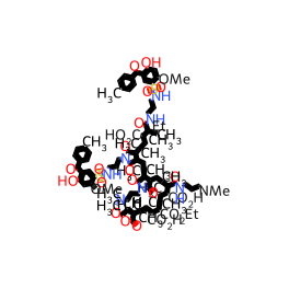 CCOC(=O)C(C(CC(C)(C)C1C(=O)OC(=O)C1C)C(=O)O)C(C)(C)CC(C(=O)O)C(C(=O)NCCCNC)C(C)(C)CC1C(=O)N(CCCN(C)C)C(=O)C1C(C)(C)CC1C(=O)N(CCCNS(=O)(=O)c2cc(C(=O)c3ccc(C)cc3)c(O)cc2OC)C(=O)C1C(C)(C)CC(C(=O)O)C(C(=O)NCCCNS(=O)(=O)c1cc(C(=O)c2ccc(C)cc2)c(O)cc1OC)C(C)(C)CC